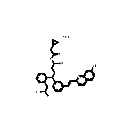 CC(O)Cc1ccccc1C(CCC(S)OC(=O)CC1CC1)c1cccc(/C=C/c2ccc3ccc(Cl)cc3n2)c1.[NaH]